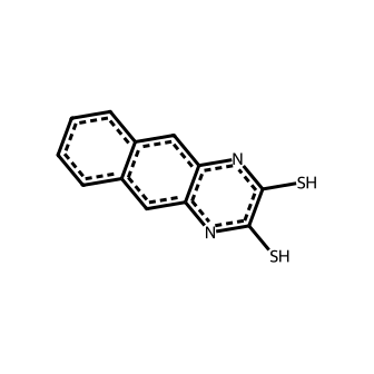 Sc1nc2cc3ccccc3cc2nc1S